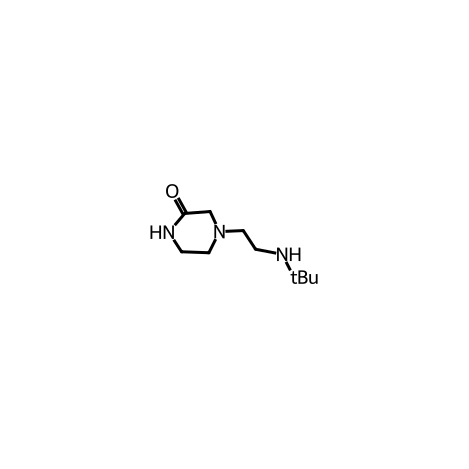 CC(C)(C)NCCN1CCNC(=O)C1